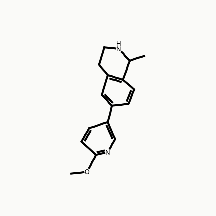 COc1ccc(-c2ccc3c(c2)CCNC3C)cn1